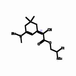 CCCCC(CC)COC(=O)/C(C#N)=C1\C=C(N(C)C(C)CC)CC(C)(C)C1